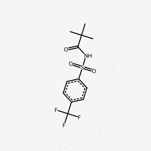 CC(C)(C)C(=O)NS(=O)(=O)c1ccc(C(F)(F)F)cc1